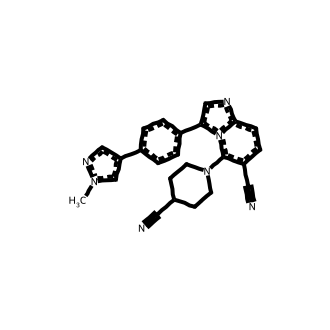 Cn1cc(-c2ccc(-c3cnc4ccc(C#N)c(N5CCC(C#N)CC5)n34)cc2)cn1